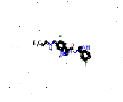 Cn1cc(C(=O)Nc2c[nH]c3ccc(F)cc23)c2cc(F)c(CNCCC(F)(F)F)cc21